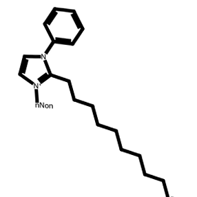 CCCCCCCCCCCCCCCCCCCc1n(-c2ccccc2)cc[n+]1CCCCCCCCC